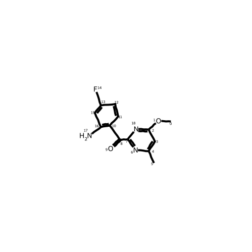 COc1cc(C)nc(C(=O)c2ccc(F)cc2N)n1